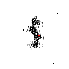 CC(C)C1=C2[C@H]3CC[C@@H]4[C@@]5(C)CC[C@H](OC(=O)CC(C)(C)C(=O)OC(C)(C)C)C(C)(C)[C@@H]5CC[C@@]4(C)[C@]3(C)CC[C@@]2([C@@H](O)CN(CCN(C)C)Cc2ccc(Cl)cc2)CC1=O